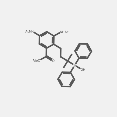 COC(=O)c1cc(NC(C)=O)cc(NC(C)=O)c1CCC(C)(C)[Si](O)(c1ccccc1)c1ccccc1